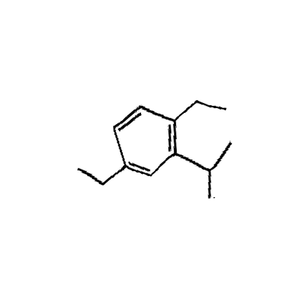 [CH2]C(C)c1cc(CC)ccc1CC